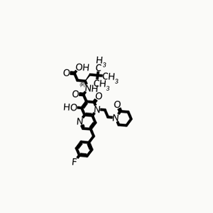 CC(C)(C)C[C@H](CC(=O)O)NC(=O)c1c(O)c2ncc(Cc3ccc(F)cc3)cc2n(CCN2CCCCC2=O)c1=O